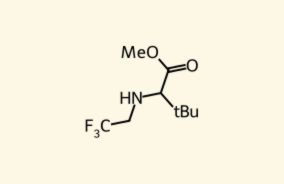 COC(=O)C(NCC(F)(F)F)C(C)(C)C